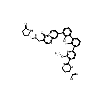 COc1nc(-c2cccc(-c3cccc(-c4ccn5c(=O)c(CNC[C@@H]6CCC(=O)N6)cnc5c4)c3Cl)c2Cl)ccc1C1=NCC[C@@H](C(=O)O)N1